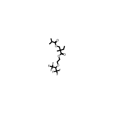 CCC(C)(COC(=O)C(C)C)C(=O)OCCOC(C(F)(F)F)C(F)(F)F